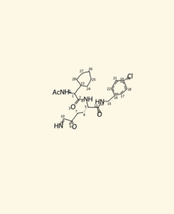 CC(=O)N[C@H](C(=O)N[C@@H](CCC(=O)C=N)C(=O)NCc1ccc(Cl)cc1)C1CCCCC1